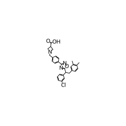 Cc1ccc(CC(c2cccc(Cl)c2)c2nc(-c3ccc(CN4CC(C(=O)O)C4)cc3)no2)cc1C